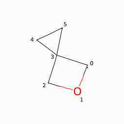 [CH]1OCC12CC2